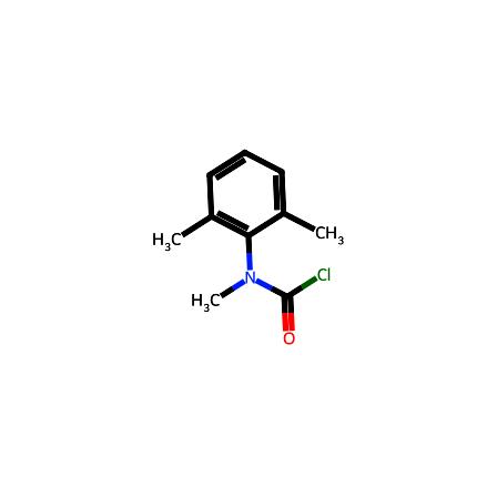 Cc1cccc(C)c1N(C)C(=O)Cl